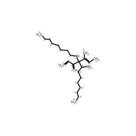 C=CC(=C)C(NCCCCCCCC)(/C(C)=C/C)C(N)CCCCCCC